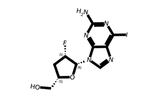 Nc1nc(I)c2ncn([C@@H]3O[C@H](CO)C[C@@H]3F)c2n1